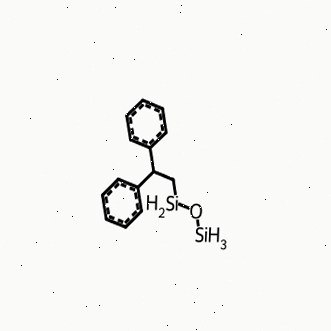 [SiH3]O[SiH2]CC(c1ccccc1)c1ccccc1